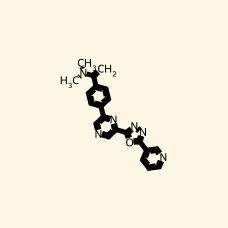 C=C(c1ccc(-c2cncc(-c3nnc(-c4cccnc4)o3)n2)cc1)N(C)C